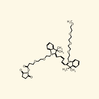 COCCOCCOCCOCC[N+]1=C(\C=C/C=C\C=C2\N(CCOCCOCCC(=O)ON3C(=O)CCC3=O)c3ccccc3C2(C)C)C(C)(C)c2ccccc21